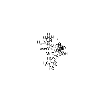 COC1[C@@H](OC)[C@@H](COP(=O)(O)OP(=O)(O)OP(=O)(O)OC[C@H]2O[C@@H](n3cnc4c(=O)[nH]c(C)nc43)[C@@H](O)C2OC)O[C@H]1n1c[n+](C)c2c(=O)[nH]c(N)nc21